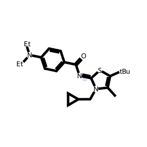 CCN(CC)c1ccc(C(=O)/N=c2\sc(C(C)(C)C)c(C)n2CC2CC2)cc1